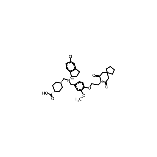 COc1cc(CN(C[C@H]2CC[C@H](C(=O)O)CC2)[C@H]2CCc3cc(Cl)ccc32)ccc1OCCN1C(=O)CC2(CCCC2)CC1=O